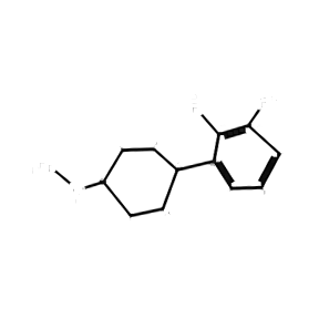 CCCOC1CCC(c2cccc(F)c2F)CC1